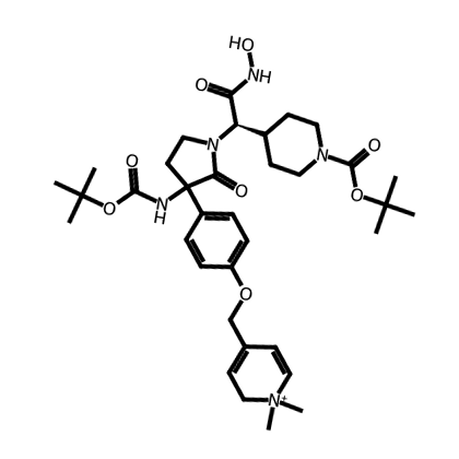 CC(C)(C)OC(=O)NC1(c2ccc(OCC3=CC[N+](C)(C)C=C3)cc2)CCN([C@@H](C(=O)NO)C2CCN(C(=O)OC(C)(C)C)CC2)C1=O